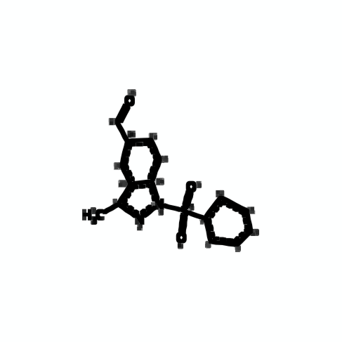 Cc1nn(S(=O)(=O)c2ccccc2)c2ccc(C=O)cc12